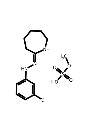 COS(=O)(=O)O.Clc1cccc(NN=C2CCCCCN2)c1